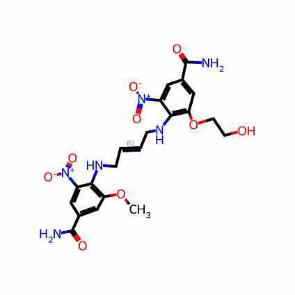 COc1cc(C(N)=O)cc([N+](=O)[O-])c1NC/C=C/CNc1c(OCCO)cc(C(N)=O)cc1[N+](=O)[O-]